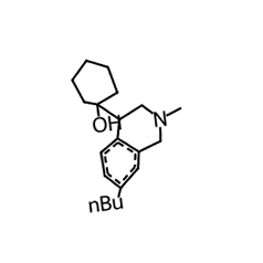 CCCCc1ccc2c(c1)CN(C)CC2C1(O)CCCCC1